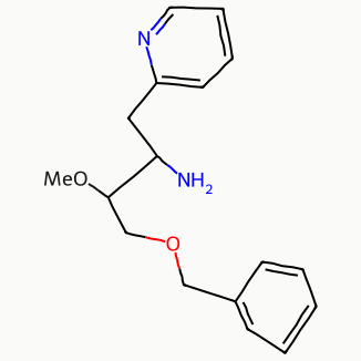 COC(COCc1ccccc1)C(N)Cc1ccccn1